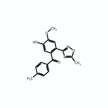 COc1cc(-c2noc(C)n2)c(C(=O)c2ccc(C)cc2)cc1O